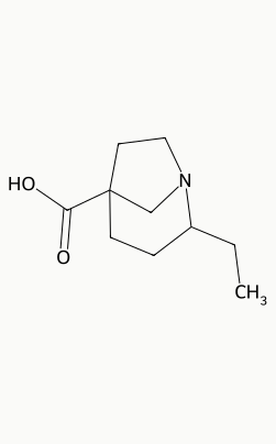 CCC1CCC2(C(=O)O)CCN1C2